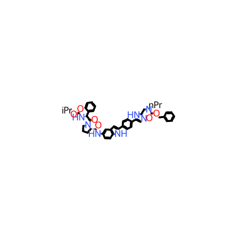 CCCN(Cc1ncc(-c2ccc(-c3cc4cc(NC(=O)[C@@H]5CCCN5C(=O)[C@H](NC(=O)OC(C)C)c5ccccc5)ccc4[nH]3)cc2)[nH]1)C(=O)OCc1ccccc1